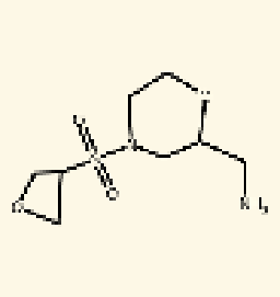 NCC1CN(S(=O)(=O)C2COC2)CCO1